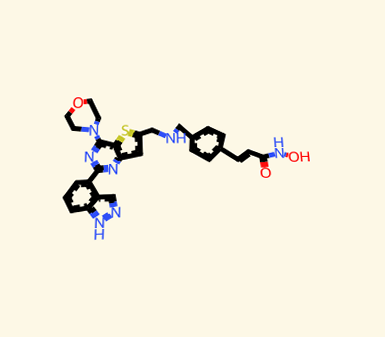 O=C(/C=C/c1ccc(CNCc2cc3nc(-c4cccc5[nH]ncc45)nc(N4CCOCC4)c3s2)cc1)NO